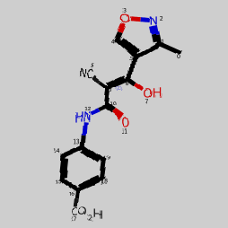 Cc1nocc1/C(O)=C(\C#N)C(=O)Nc1ccc(C(=O)O)cc1